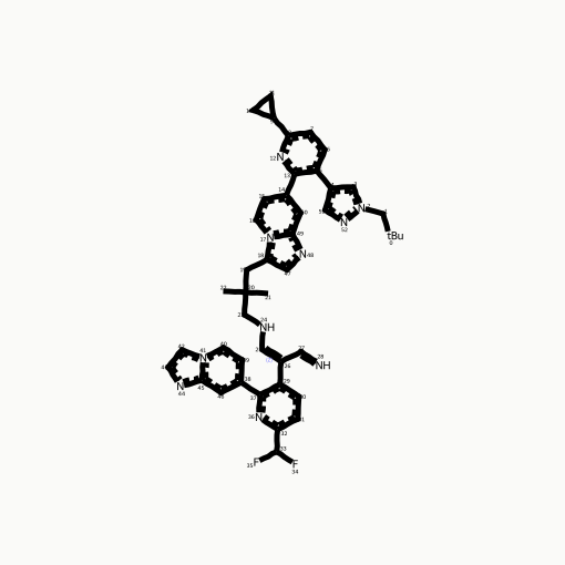 CC(C)(C)Cn1cc(-c2ccc(C3CC3)nc2-c2ccn3c(CC(C)(C)CN/C=C(\C=N)c4ccc(C(F)F)nc4-c4ccn5ccnc5c4)cnc3c2)cn1